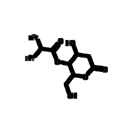 CCCC(CCC)C(=O)OC1C(O)CC(=O)OC1CO